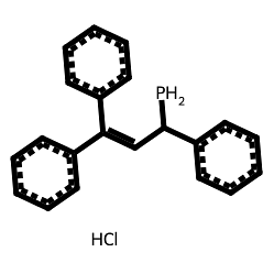 Cl.PC(C=C(c1ccccc1)c1ccccc1)c1ccccc1